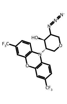 [N-]=[N+]=NC1COC[C@H](N2c3ccc(C(F)(F)F)cc3Oc3cc(C(F)(F)F)ccc32)[C@H]1O